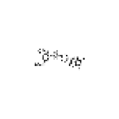 COc1ccc(OC)c(-c2csc(N3CCN(S(=O)(=O)c4c(C)c(C)cc(C)c4C)CC3)n2)c1